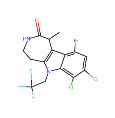 CC1C(=O)NCCc2c1c1c(Br)cc(Cl)c(Cl)c1n2CC(F)(F)F